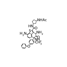 CC(=O)N[C@@H]1CC[C@H](NC(=O)c2sc3c(N)ccc4c3c2C(N)C(=O)C4(N)c2ccc(Oc3ccccc3)cc2C)C1